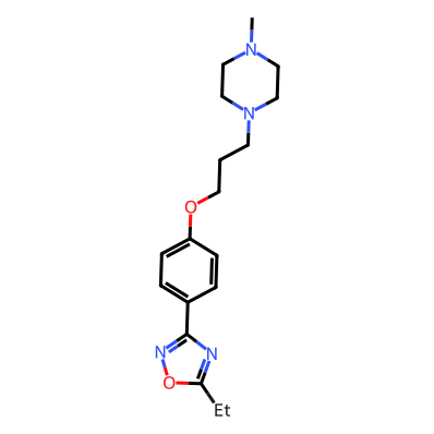 CCc1nc(-c2ccc(OCCCN3CCN(C)CC3)cc2)no1